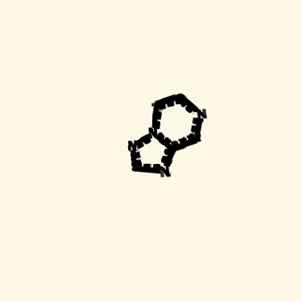 [c]1cncc2ncnn12